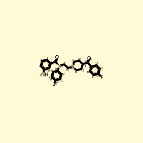 Nc1cccc(C(=O)N(CCN2CCC(C(=O)c3ccc(F)cc3)CC2)c2ccc(F)cc2)c1